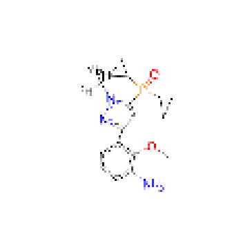 [2H]C([2H])([2H])n1nc(-c2cccc(N)c2OC)cc1P(=O)(C1CC1)C1CC1